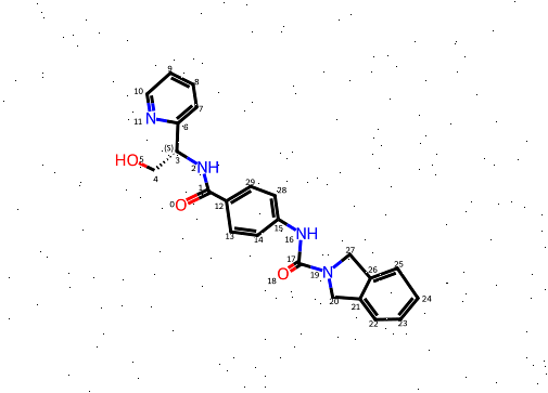 O=C(N[C@H](CO)c1ccccn1)c1ccc(NC(=O)N2Cc3ccccc3C2)cc1